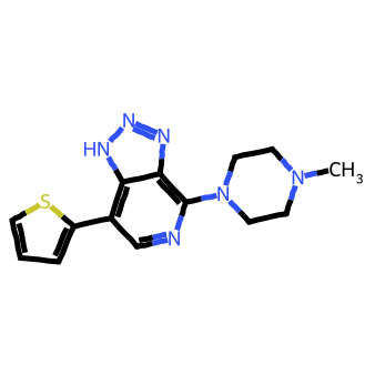 CN1CCN(c2ncc(-c3cccs3)c3[nH]nnc23)CC1